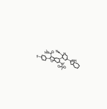 CNC(=O)c1c(-c2ccc(F)cc2)oc2cc(N(C)S(C)(=O)=O)c(-c3cc(-c4cc5ccccc5[nH]4)cnc3C#N)cc12